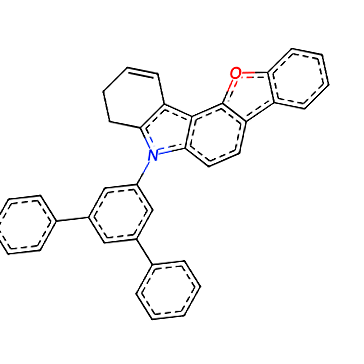 C1=Cc2c(n(-c3cc(-c4ccccc4)cc(-c4ccccc4)c3)c3ccc4c5ccccc5oc4c23)CC1